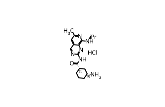 Cc1cc2cnc(NC(=O)[C@H]3CCC[C@@H](N)C3)nc2c(NC(C)C)n1.Cl